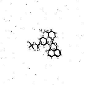 Cc1cccc2ccnc(N(C(=O)N3CCCC(N)C3)[C@@H]3CCCN(C(=O)OC(C)(C)C)C3)c12